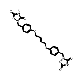 O=c1[nH]c(=O)n(Cc2ccc(OCC=CCOc3ccc(Cn4oc(=O)[nH]c4=O)cc3)cc2)o1